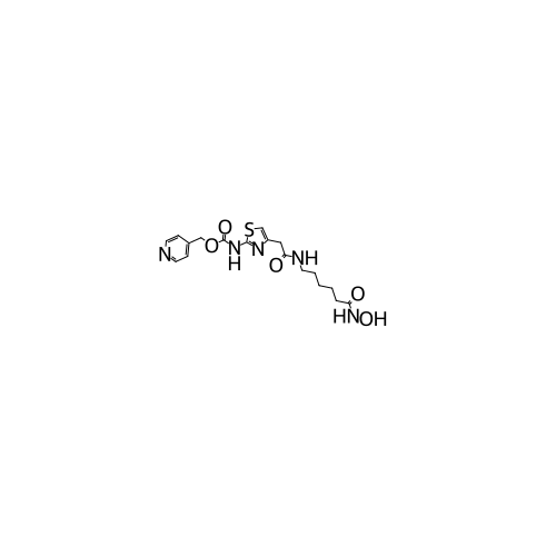 O=C(CCCCCNC(=O)Cc1csc(NC(=O)OCc2ccncc2)n1)NO